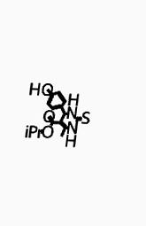 CC1=C(C(=O)OC(C)C)C(c2ccc(O)cc2)NC(=S)N1